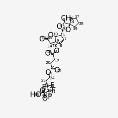 CCC1(OC(=O)C2C3CC4C2OC(=O)C4C3OC(=O)CCC(=O)OCCC(F)(F)C(F)(F)S(=O)(=O)O)CCCC1